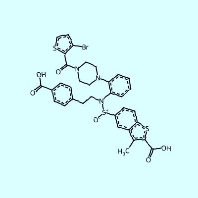 Cc1c(C(=O)O)sc2ccc([S+]([O-])N(CCc3ccc(C(=O)O)cc3)c3ccccc3N3CCN(C(=O)c4sccc4Br)CC3)cc12